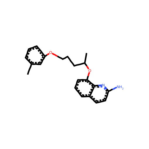 Cc1cccc(OCCCC(C)Oc2cccc3ccc(N)nc23)c1